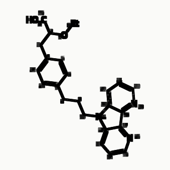 CCOC(Cc1ccc(CCCn2c3cccnc3c3ncccc32)cc1)C(=O)O